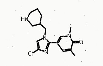 Cc1cc(-c2nc(Cl)cn2CC2CCCNC2)cn(C)c1=O